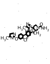 C=Nc1cc(F)c(-c2ccc(Oc3nccc(C)n3)cc2Cl)cc1-c1c(C)ncn1C1(C)CCN(C(N)=O)CC1